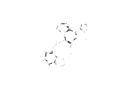 Cc1cc(-c2cc3c(n4cnnc24)NCc2c(F)ccc4c2C(CO4)CO3)n(C)n1